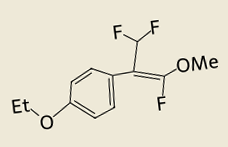 CCOc1ccc(C(=C(F)OC)C(F)F)cc1